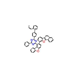 C/C=C\c1ccccc1-c1ccc(-c2nc(-c3ccccc3)nc(-c3c(-c4cccc5c4oc4c6ccccc6ccc54)ccc4oc5ccccc5c34)n2)cc1